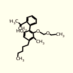 C=C(C)c1ccccc1-c1c(O)cc(CCCCC)c(C)c1OCOCC